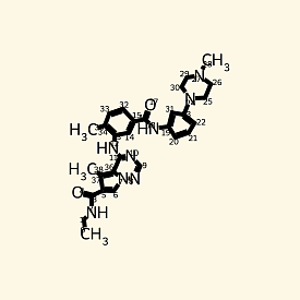 CCNC(=O)c1cn2ncnc(Nc3cc(C(=O)Nc4cccc(N5CCN(C)CC5)c4)ccc3C)c2c1C